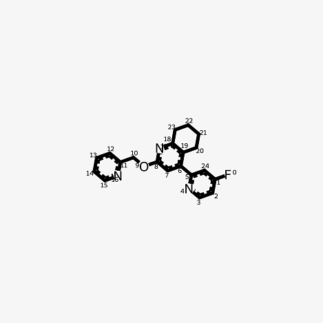 Fc1ccnc(-c2cc(OCc3ccccn3)nc3c2CCCC3)c1